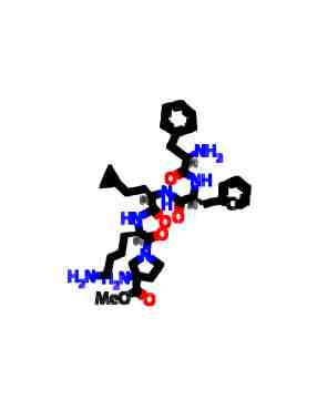 COC(=O)C1(N)CCN(C(=O)[C@@H](CCCCN)NC(=O)[C@@H](CCC2CC2)NC(=O)[C@@H](Cc2ccccc2)NC(=O)[C@H](N)Cc2ccccc2)C1